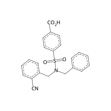 N#Cc1ccccc1CN(Cc1ccccc1)S(=O)(=O)c1ccc(C(=O)O)cc1